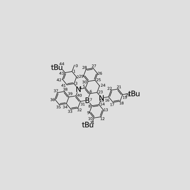 CC1CC(N2C3=C4B(c5cc(C(C)(C)C)ccc5N(c5ccc(C(C)(C)C)cc5)C4Cc4ccccc43)c3ccc4ccccc4c32)=CC=C1C(C)(C)C